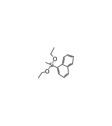 CCO[Si](C)(OCC)c1cccc2ccccc12